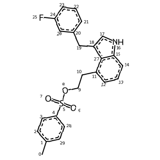 Cc1ccc(S(=O)(=O)OCCc2cccc3[nH]cc(Cc4cccc(F)c4)c23)cc1